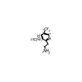 Cl.Cl.NCCc1ccc(C(F)(F)F)cn1